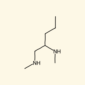 CCCC(CNC)NC